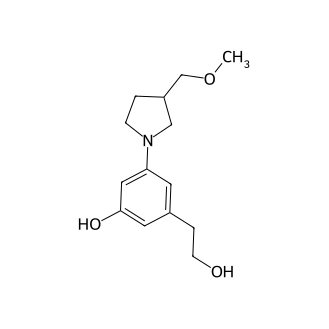 COCC1CCN(c2cc(O)cc(CCO)c2)C1